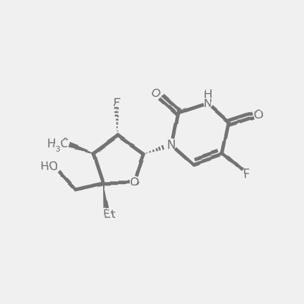 CC[C@]1(CO)O[C@@H](n2cc(F)c(=O)[nH]c2=O)[C@@H](F)[C@@H]1C